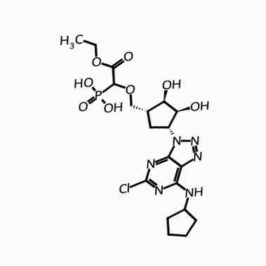 CCOC(=O)C(OC[C@H]1C[C@@H](n2nnc3c(NC4CCCC4)nc(Cl)nc32)[C@H](O)[C@@H]1O)P(=O)(O)O